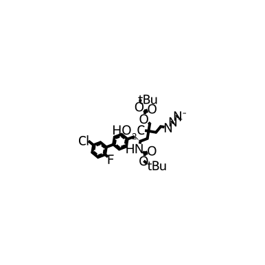 CC(C)(C)OC(=O)N[C@H](Cc1ccc(-c2cc(Cl)ccc2F)cc1)CC(CCN=[N+]=[N-])(COC(=O)OC(C)(C)C)C(=O)O